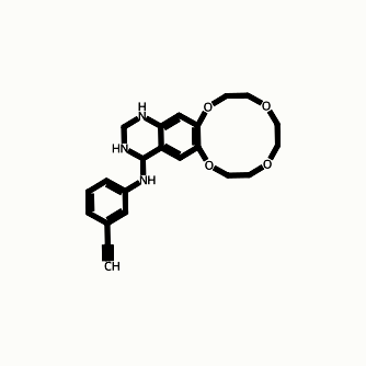 C#Cc1cccc(NC2NCNc3cc4c(cc32)OCCOCCOCCO4)c1